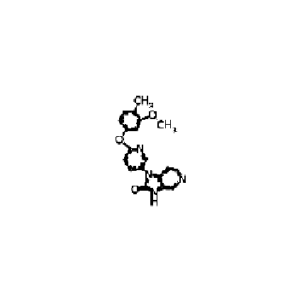 COc1cc(Oc2ccc(-n3c(=O)[nH]c4cnccc43)cn2)ccc1C